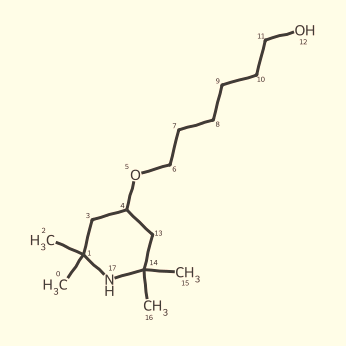 CC1(C)CC(OCCCCCCO)CC(C)(C)N1